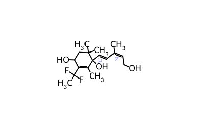 CC1=C(C(C)(F)F)C(O)CC(C)(C)C1(O)/C=C/C(C)=C\CO